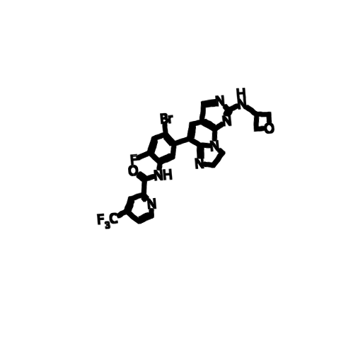 O=C(Nc1cc(C2=Cc3cnc(NC4COC4)nc3N3CCN=C23)c(Br)cc1F)c1cc(C(F)(F)F)ccn1